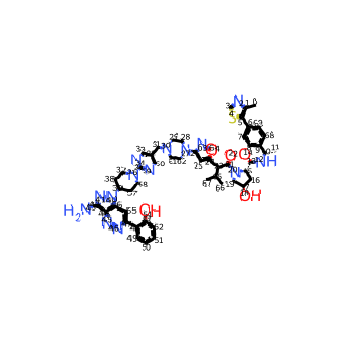 Cc1ncsc1-c1ccc([C@H](C)NC(=O)[C@@H]2C[C@@H](O)CN2C(=O)C(c2cc(N3CCN(Cc4cnc(N5CCC(n6nc(N)c7nnc(-c8ccccc8O)cc76)CC5)nc4)CC3)no2)C(C)C)cc1